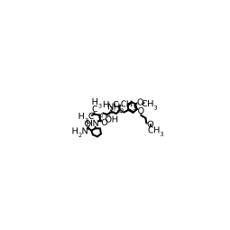 COCCCOc1cc(C[C@@H](C[C@H](N)[C@@H](O)C[C@H](C(=O)NC2CCCCC2C(N)=O)C(C)C)C(C)C)ccc1OC